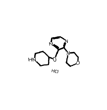 Cl.c1cnc(N2CCOCC2)c(OC2CCNCC2)n1